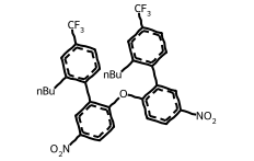 CCCCc1cc(C(F)(F)F)ccc1-c1cc([N+](=O)[O-])ccc1Oc1ccc([N+](=O)[O-])cc1-c1ccc(C(F)(F)F)cc1CCCC